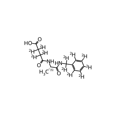 [2H]c1c([2H])c([2H])c(C([2H])([2H])NC(=O)[C@H](C)NC(=O)C([2H])([2H])C([2H])([2H])C(=O)O)c([2H])c1[2H]